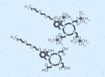 COCCOCCOCCOc1ccc(C[C@H]2CN(CC(=O)O)CCN(CC(=O)O)CCN(CC(=O)O)CCN2CC(=O)O)cc1.COCCOCCOCCOc1ccc(C[C@H]2CN(CC(=O)OC(C)(C)C)CCN(CC(=O)OC(C)(C)C)CCN(CC(=O)OC(C)(C)C)CCN2CC(=O)OC(C)(C)C)cc1